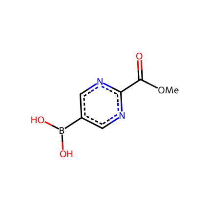 COC(=O)c1ncc(B(O)O)cn1